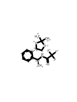 C[C@H](NC(=O)C(F)(F)F)c1ccccc1[C@H]1COC(C)(C)O1